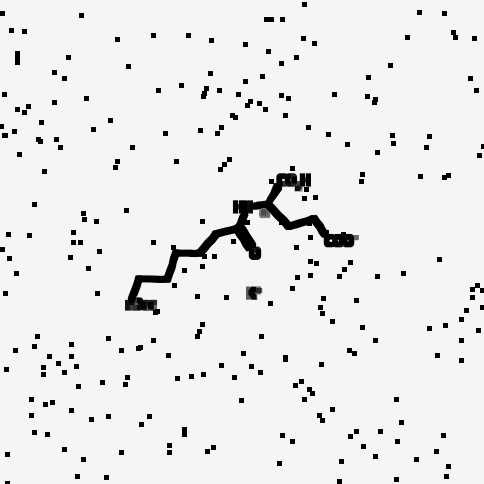 CCCCCCCCCCCCCCCC(=O)N[C@H](CCC(=O)[O-])C(=O)O.[K+]